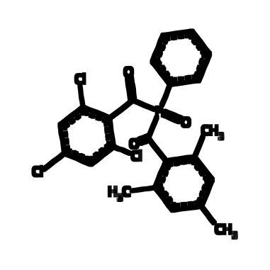 Cc1cc(C)c(C(=O)P(=O)(C(=O)c2c(Cl)cc(Cl)cc2Cl)c2ccccc2)c(C)c1